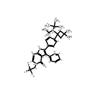 CC1(O)CC(c2ccc(-c3sc4ncn(CC(F)(F)F)c(=O)c4c3-c3ccccn3)cc2)(N(C(=O)O)C(C)(C)C)C1